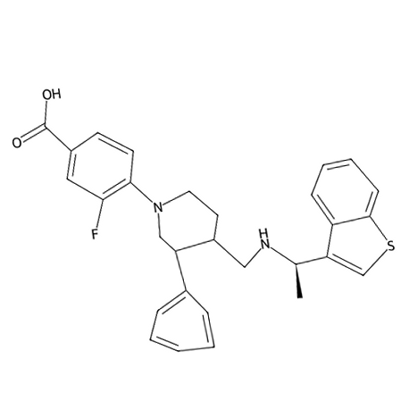 C[C@@H](NCC1CCN(c2ccc(C(=O)O)cc2F)CC1c1ccccc1)c1csc2ccccc12